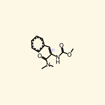 COC(=O)N/C(=C/c1ccccc1)C(=O)N(C)C